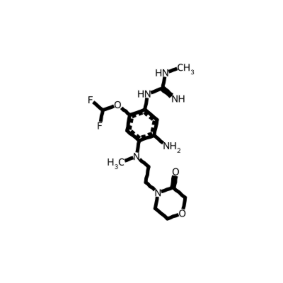 CNC(=N)Nc1cc(N)c(N(C)CCN2CCOCC2=O)cc1OC(F)F